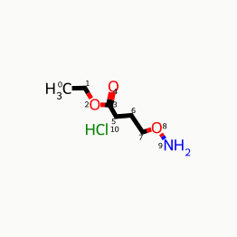 CCOC(=O)CCCON.Cl